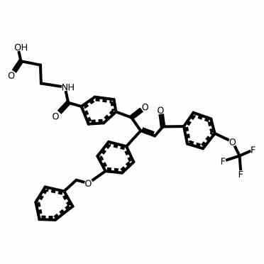 O=C(O)CCNC(=O)c1ccc(C(=O)/C(=C\C(=O)c2ccc(OC(F)(F)F)cc2)c2ccc(OCc3ccccc3)cc2)cc1